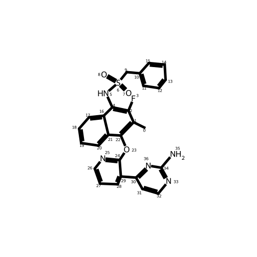 Cc1c(F)c(NS(=O)(=O)Cc2ccccc2)c2ccccc2c1Oc1ncccc1-c1ccnc(N)n1